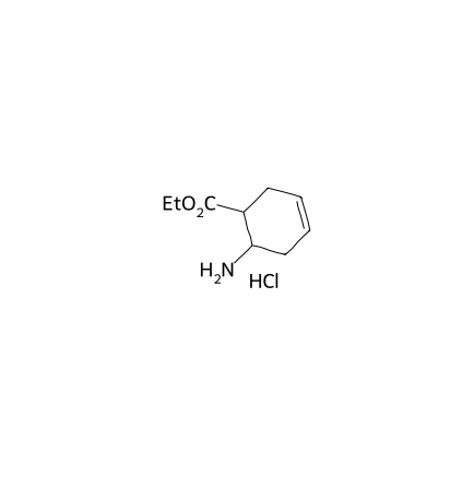 CCOC(=O)C1CC=CCC1N.Cl